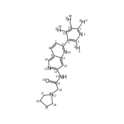 [2H]c1nc([2H])c(-c2ccc3cnc(NC(=O)CN4CCCC4)cc3n2)c([2H])c1[2H]